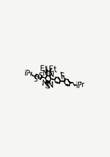 CCc1nc2c(-c3ccc(-c4ccc(CCC(C)C)cc4F)cc3)c3nsnc3c(-c3cc4sc(CC(C)C)cc4s3)c2nc1CC